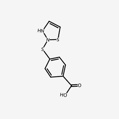 O=C(O)c1ccc(SN2NC=CS2)cc1